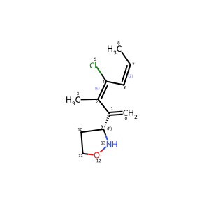 C=C(/C(C)=C(Cl)\C=C/C)[C@H]1CCON1